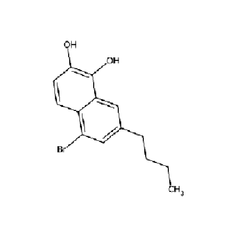 CCCCc1cc(Br)c2ccc(O)c(O)c2c1